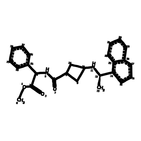 COC(=O)C(NC(=O)C1CC(N[C@H](C)c2cccc3ccccc23)C1)c1ccccc1